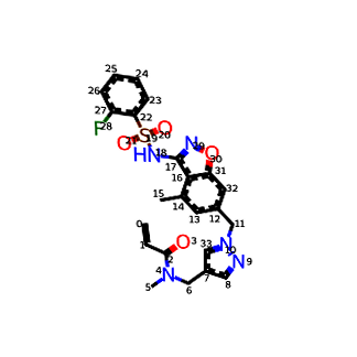 C=CC(=O)N(C)Cc1cnn(Cc2cc(C)c3c(NS(=O)(=O)c4ccccc4F)noc3c2)c1